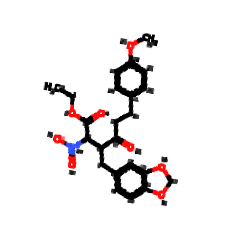 CCOC(=O)C(C(Cc1ccc2c(c1)OCO2)C(=O)CCc1ccc(OC)cc1)[N+](=O)[O-]